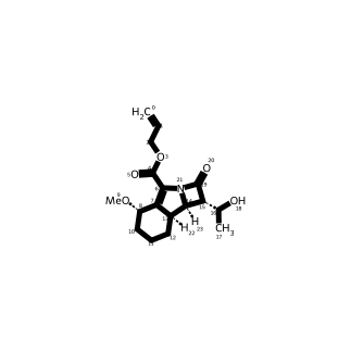 C=CCOC(=O)C1=C2[C@@H](OC)CCC[C@@H]2[C@@H]2[C@@H](C(C)O)C(=O)N12